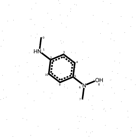 CNc1ccc(N(C)O)cc1